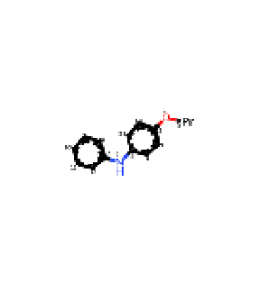 CC(C)Oc1ccc(Nc2[c]cccc2)cc1